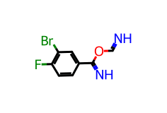 N=COC(=N)c1ccc(F)c(Br)c1